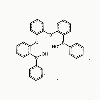 OB(c1ccccc1)c1ccccc1Oc1ccccc1Oc1ccccc1B(O)c1ccccc1